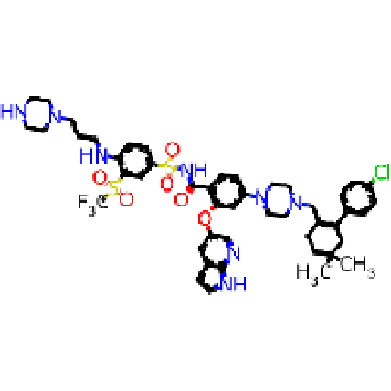 CC1(C)CCC(CN2CCN(c3ccc(C(=O)NS(=O)(=O)c4ccc(NCCCN5CCNCC5)c(S(=O)(=O)C(F)(F)F)c4)c(Oc4cnc5[nH]ccc5c4)c3)CC2)=C(c2ccc(Cl)cc2)C1